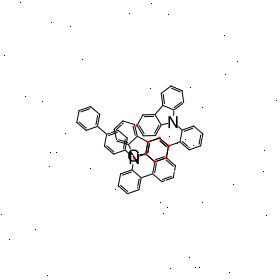 c1ccc(-c2ccc(N(c3ccc(-c4ccccc4-n4c5ccccc5c5ccccc54)cc3)c3ccccc3-c3cccc4ccc5c6ccccc6oc5c34)cc2)cc1